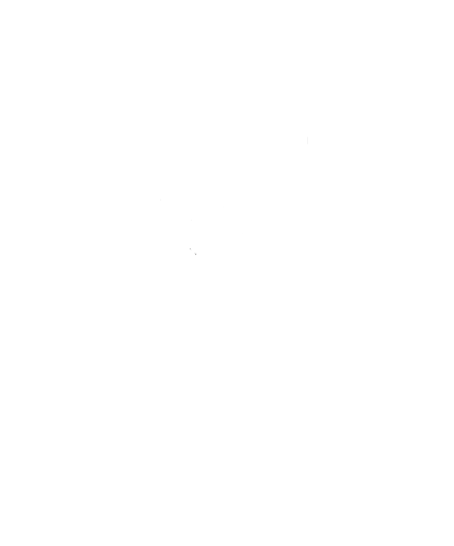 O=C(O)c1ccc2c(c1)C(=O)N(Cc1ccc(Cl)c(F)c1)C2